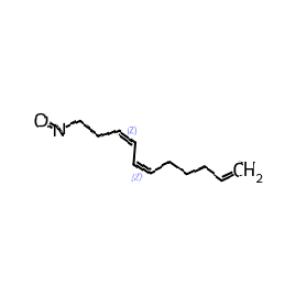 C=CCCC/C=C\C=C/CCN=O